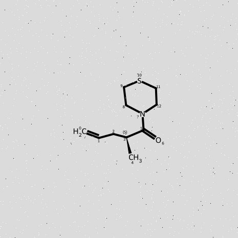 C=CC[C@H](C)C(=O)N1CCSCC1